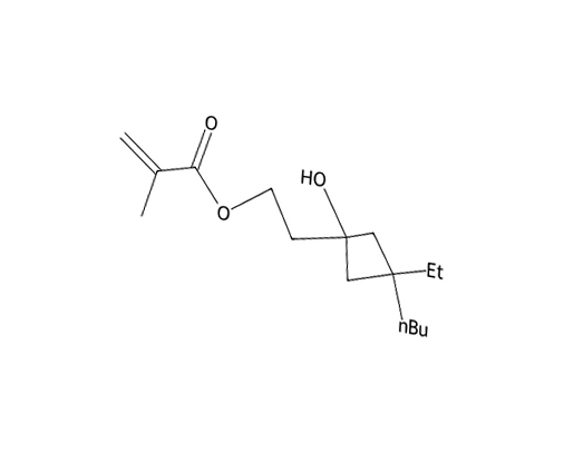 C=C(C)C(=O)OCCC1(O)CC(CC)(CCCC)C1